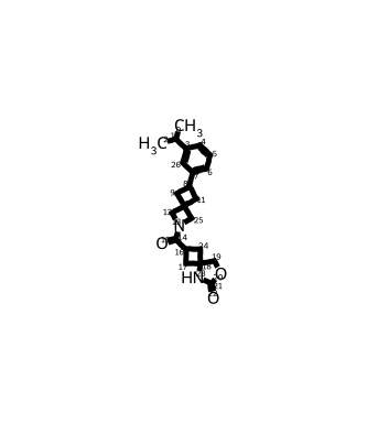 CC(C)c1cccc(C2CC3(C2)CN(C(=O)C2CC4(COC(=O)N4)C2)C3)c1